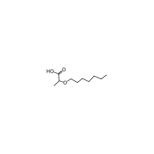 CCCCCCCOC(C)C(=O)O